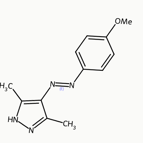 COc1ccc(/N=N/c2c(C)n[nH]c2C)cc1